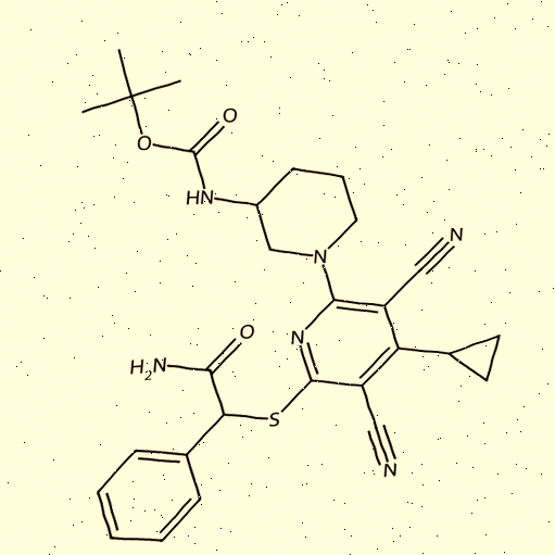 CC(C)(C)OC(=O)NC1CCCN(c2nc(SC(C(N)=O)c3ccccc3)c(C#N)c(C3CC3)c2C#N)C1